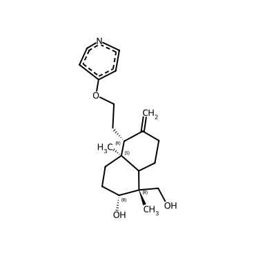 C=C1CCC2[C@](C)(CO)[C@H](O)CC[C@@]2(C)[C@@H]1CCOc1ccncc1